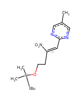 Cc1cnc(/C=C(/CCO[Si](C)(C)C(C)(C)C)[N+](=O)[O-])nc1